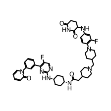 O=C1CCC(Nc2ccc(N3CCC(CN4CCC(CC(=O)N[C@H]5CC[C@H](Nc6ncc(F)c(-c7cccc(-n8ccccc8=O)c7)n6)CC5)CC4)CC3)c(F)c2)C(=O)N1